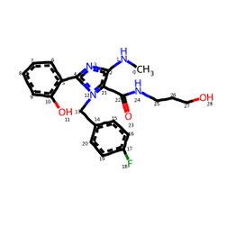 CNc1nc(-c2ccccc2O)n(Cc2ccc(F)cc2)c1C(=O)NCCCO